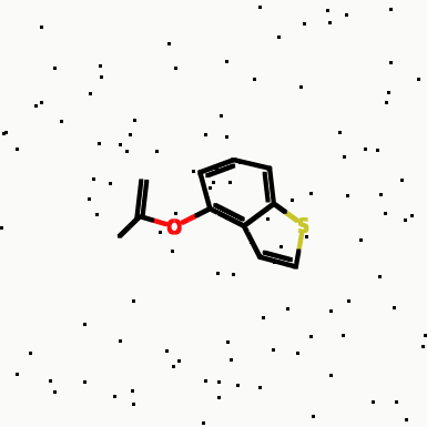 C=C(C)Oc1cccc2sccc12